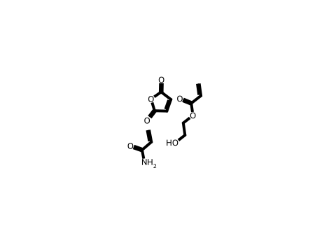 C=CC(=O)OCCO.C=CC(N)=O.O=C1C=CC(=O)O1